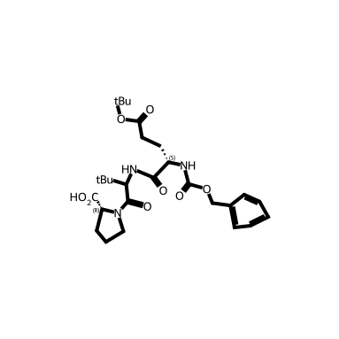 CC(C)(C)OC(=O)CC[C@H](NC(=O)OCc1ccccc1)C(=O)NC(C(=O)N1CCC[C@@H]1C(=O)O)C(C)(C)C